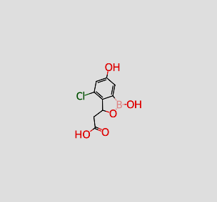 O=C(O)CC1OB(O)c2cc(O)cc(Cl)c21